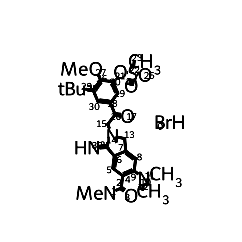 Br.CNC(=O)c1cc2c(cc1N(C)C)CN(CC(=O)c1cc(OS(C)(=O)=O)c(OC)c(C(C)(C)C)c1)C2=N